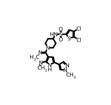 C=Nc1[nH]c(-c2cnn(C)c2)cc1/C(=N\C)N1CCC(NS(=O)(=O)c2cc(Cl)c(Cl)s2)CC1